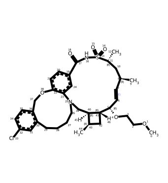 COCCO[C@H]1/C=C/[C@H](C)C[C@@H](C)S(=O)(=O)NC(=O)c2ccc3c(c2)N(CCCCc2cc(Cl)ccc2CO3)C[C@H]2[C@H]1C[C@H]2C